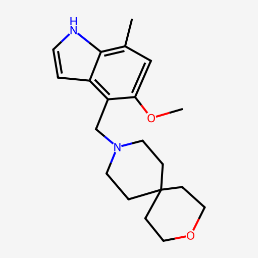 COc1cc(C)c2[nH]ccc2c1CN1CCC2(CCOCC2)CC1